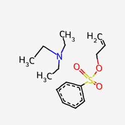 C=CCOS(=O)(=O)c1ccccc1.CCN(CC)CC